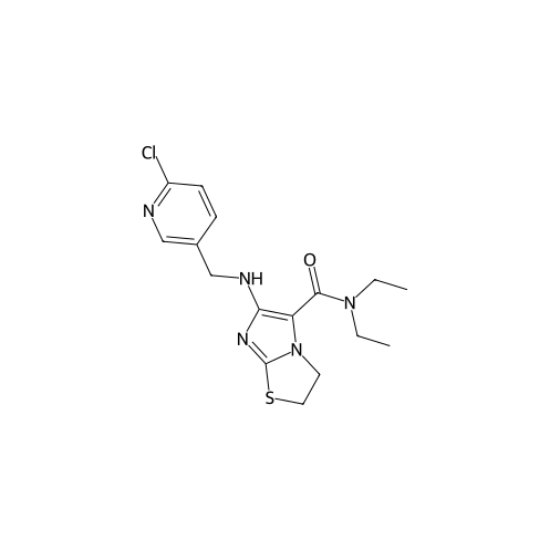 CCN(CC)C(=O)c1c(NCc2ccc(Cl)nc2)nc2n1CCS2